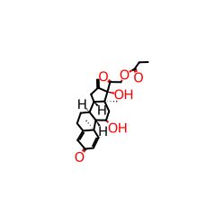 C=C1C[C@H]2[C@@H]3CCC4=CC(=O)C=C[C@]4(C)[C@H]3C(O)C[C@]2(C)[C@@]1(O)C(=O)COC(=O)CC